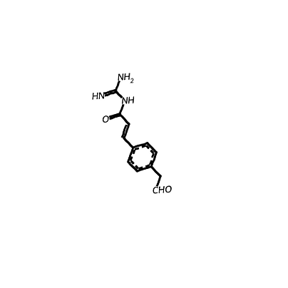 N=C(N)NC(=O)/C=C/c1ccc(CC=O)cc1